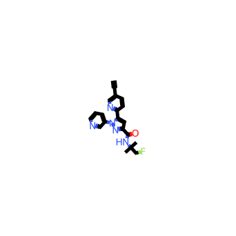 C#Cc1ccc(-c2cc(C(=O)NC(C)(C)CF)nn2-c2cccnc2)nc1